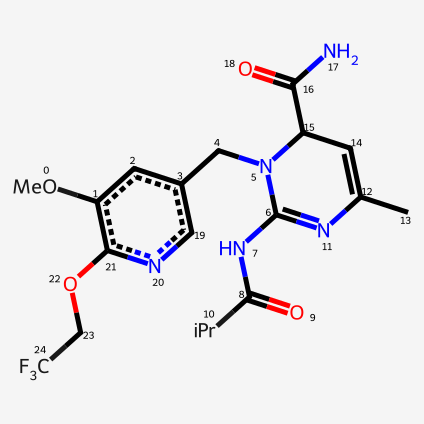 COc1cc(CN2C(NC(=O)C(C)C)=NC(C)=CC2C(N)=O)cnc1OCC(F)(F)F